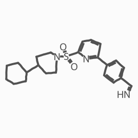 N=Cc1ccc(-c2cccc(S(=O)(=O)N3CCC(C4CCCCC4)CC3)n2)cc1